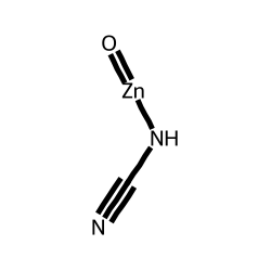 N#C[NH][Zn]=[O]